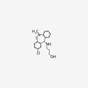 CN1Sc2ccc(Cl)cc2C(NCCCO)c2ccccc21